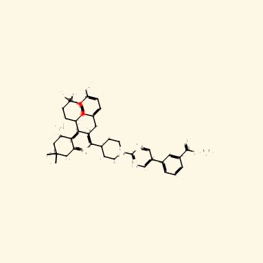 COC(=O)c1cccc(-c2cnc(N3CCC(c4nc5c(c(C6CCC(F)(F)CC6)c4Cc4ccc(C(F)(F)F)cc4)[C@@H](O)CC(C)(C)C5)CC3)nc2)c1